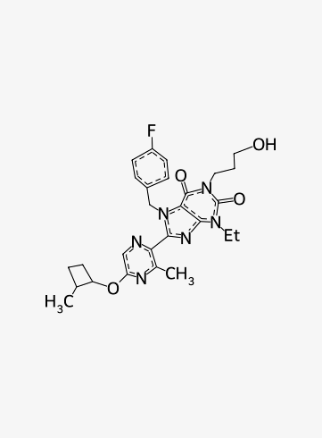 CCn1c(=O)n(CCCO)c(=O)c2c1nc(-c1ncc(OC3CCC3C)nc1C)n2Cc1ccc(F)cc1